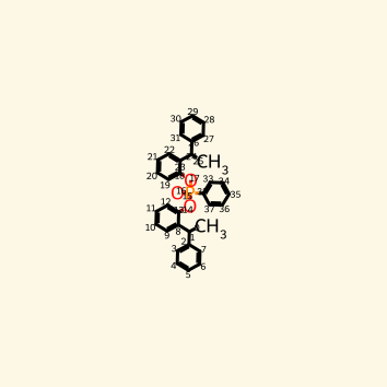 CC(c1ccccc1)c1ccccc1OP(=O)(Oc1ccccc1C(C)c1ccccc1)c1ccccc1